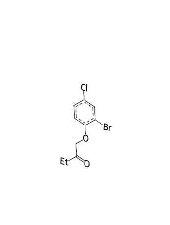 CCC(=O)COc1ccc(Cl)cc1Br